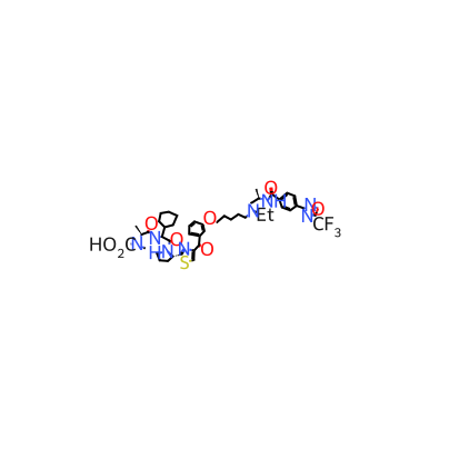 CCN(CCCCCOc1cccc(C(=O)c2csc([C@@H]3CCCN3C(=O)[C@@H](NC(=O)[C@H](C)N(C)C(=O)O)C3CCCCC3)n2)c1)C[C@@H](C)NC(=O)c1ccc(-c2noc(C(F)(F)F)n2)cc1